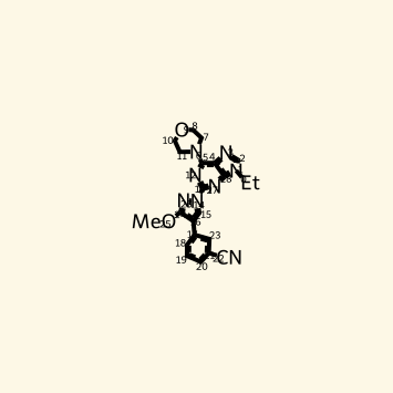 CCn1cnc2c(N3CCOCC3)nc(-n3cc(-c4cccc(C#N)c4)c(OC)n3)nc21